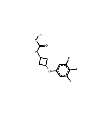 CC(C)(C)OC(=O)N[C@H]1C[C@H](Oc2cc(F)c(F)c(F)c2)C1